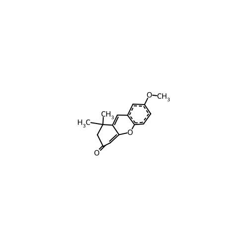 COc1ccc2c(c1)C=C1C(=CC(=O)CC1(C)C)O2